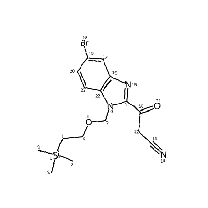 C[Si](C)(C)CCOCn1c(C(=O)CC#N)nc2cc(Br)ccc21